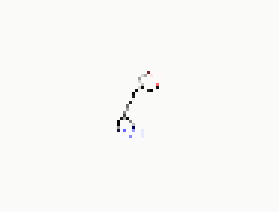 C(CC1CCNCC1)CC1CCOCC1